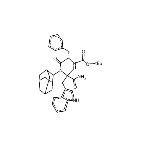 CC(C)(C)OC(=O)N[C@@H](Cc1ccccc1)C(=O)N(C1C2CC3CC(C2)CC1C3)C(C)(Cc1c[nH]c2ccccc12)C(N)=O